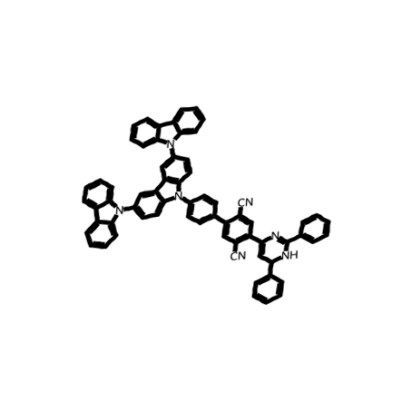 N#Cc1cc(-c2ccc(-n3c4ccc(-n5c6ccccc6c6ccccc65)cc4c4cc(-n5c6ccccc6c6ccccc65)ccc43)cc2)c(C#N)cc1C1=CC(c2ccccc2)NC(c2ccccc2)=N1